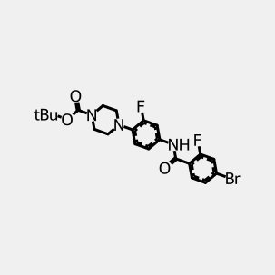 CC(C)(C)OC(=O)N1CCN(c2ccc(NC(=O)c3ccc(Br)cc3F)cc2F)CC1